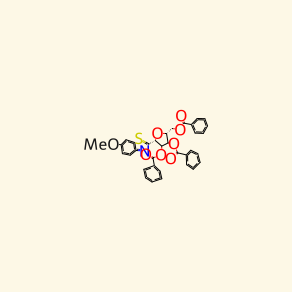 COc1ccc2nc([C@@H]3O[C@H](COC(=O)c4ccccc4)[C@@H](OC(=O)c4ccccc4)[C@H]3OC(=O)c3ccccc3)sc2c1